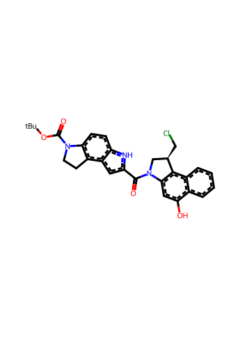 CC(C)(C)OC(=O)N1CCc2c1ccc1[nH]c(C(=O)N3C[C@@H](CCl)c4c3cc(O)c3ccccc43)cc21